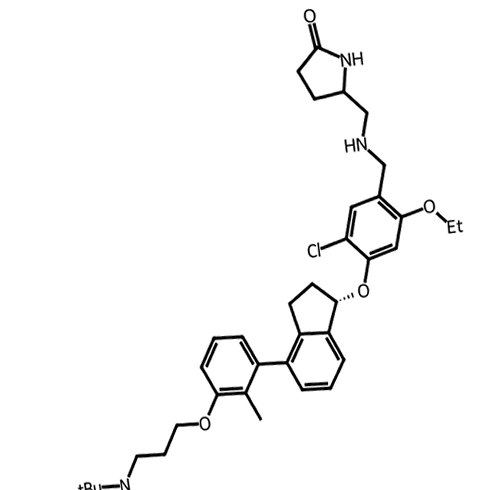 CCOc1cc(O[C@H]2CCc3c(-c4cccc(OCCCN(C)C(C)(C)C)c4C)cccc32)c(Cl)cc1CNCC1CCC(=O)N1